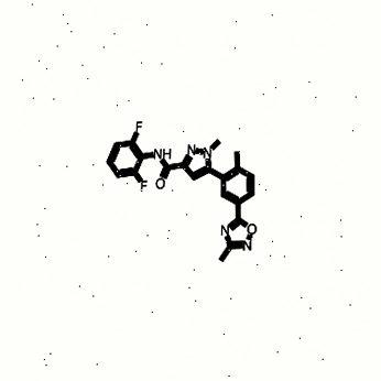 Cc1noc(-c2ccc(C)c(-c3cc(C(=O)Nc4c(F)cccc4F)nn3C)c2)n1